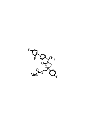 CNC(=O)OCCC1(c2ccc(F)cc2)CCN(C(C)c2ccc(-c3ccc(F)cc3F)cc2)C(=O)O1